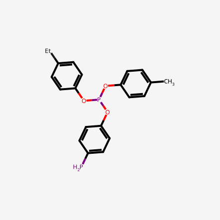 CCc1ccc(OP(Oc2ccc(C)cc2)Oc2ccc(P)cc2)cc1